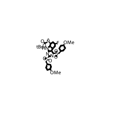 COc1ccc(CS(=O)(=O)c2nc(S(=O)(=O)Cc3ccc(OC)cc3)c3c(n2)[nH]c2c(N(C)C(=O)OC(C)(C)C)cc(F)cc23)cc1